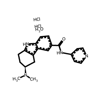 CN(C)[C@H]1CCc2[nH]c3ccc(C(=O)Nc4ccncc4)cc3c2C1.Cl.Cl.O